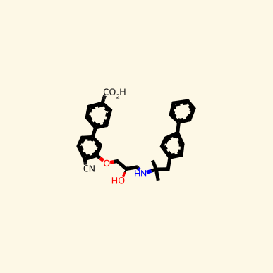 CC(C)(Cc1ccc(-c2ccccc2)cc1)NC[C@@H](O)COc1cc(-c2ccc(C(=O)O)cc2)ccc1C#N